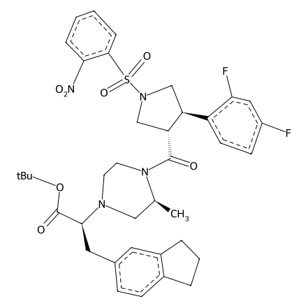 C[C@H]1CN([C@@H](Cc2ccc3c(c2)CCC3)C(=O)OC(C)(C)C)CCN1C(=O)[C@@H]1CN(S(=O)(=O)c2ccccc2[N+](=O)[O-])C[C@H]1c1ccc(F)cc1F